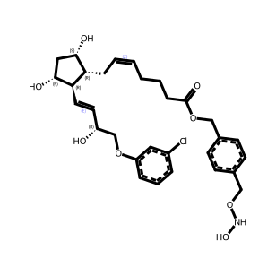 O=C(CCC/C=C\C[C@@H]1[C@@H](/C=C/[C@@H](O)COc2cccc(Cl)c2)[C@H](O)C[C@@H]1O)OCc1ccc(CONO)cc1